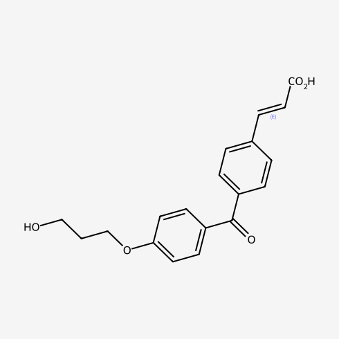 O=C(O)/C=C/c1ccc(C(=O)c2ccc(OCCCO)cc2)cc1